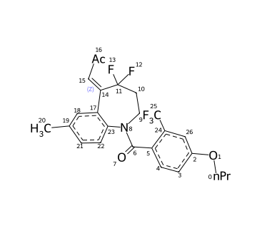 CCCOc1ccc(C(=O)N2CCC(F)(F)/C(=C\C(C)=O)c3cc(C)ccc32)c(C(F)(F)F)c1